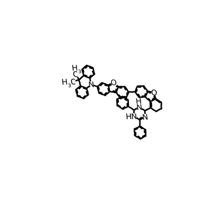 CC1(C)c2ccccc2N(c2ccc3c(c2)oc2cc(-c4ccc5oc6c(c5c4)=C(C4N=C(c5ccccc5)NC(c5ccccc5)N4)CCC=6)ccc23)c2ccccc21